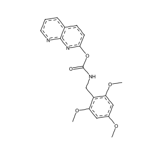 COc1cc(OC)c(CNC(=O)Oc2ccc3cccnc3n2)c(OC)c1